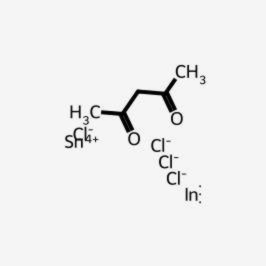 CC(=O)CC(C)=O.[Cl-].[Cl-].[Cl-].[Cl-].[In].[Sn+4]